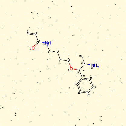 C=CC(=O)NCCCCOC(c1ccccc1)C(C)N